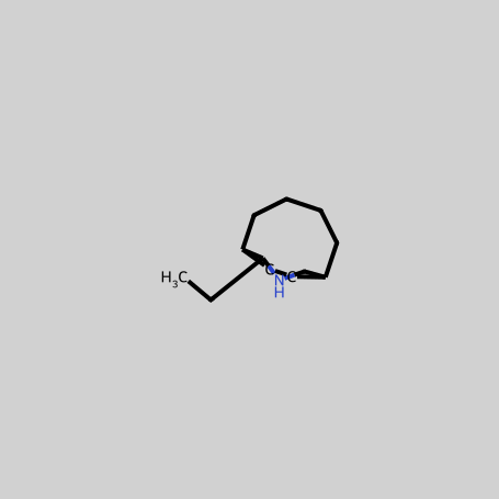 CCC1NCC2CCCCC1CC2